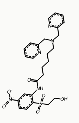 O=C(CCCCCN(Cc1ccccn1)Cc1ccccn1)Nc1cc([N+](=O)[O-])ccc1S(=O)(=O)CCO